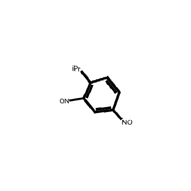 CC(C)c1ccc(N=O)cc1N=O